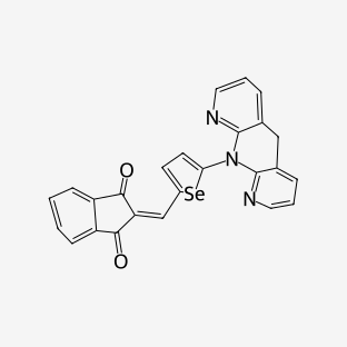 O=C1C(=Cc2ccc(N3c4ncccc4Cc4cccnc43)[se]2)C(=O)c2ccccc21